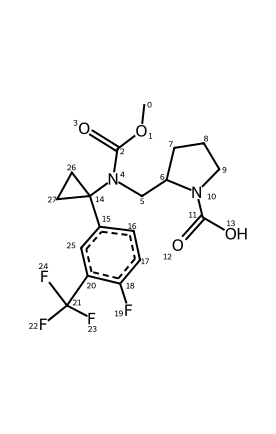 COC(=O)N(CC1CCCN1C(=O)O)C1(c2ccc(F)c(C(F)(F)F)c2)CC1